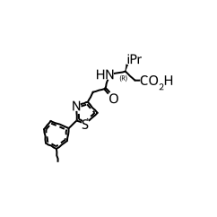 Cc1cccc(-c2nc(CC(=O)N[C@H](CC(=O)O)C(C)C)cs2)c1